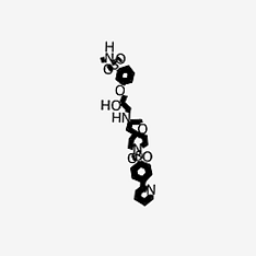 CNS(=O)(=O)c1cccc(OCC(O)CNC2COC3(CCN(S(=O)(=O)c4ccc(-c5ccccn5)cc4)CC3)C2)c1